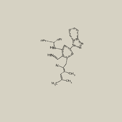 CCCC(CCC)Nc1cc(-n2nnc3ccccc32)cc(C/C(C(C)=O)=C(\C)C=C(C)C)c1C=N